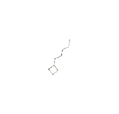 FCCCCC1CCC1